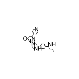 CCCC(=N)c1ccc(C2CN(c3nc(-c4ccncc4)cc(=O)n3C)CCN2)cc1